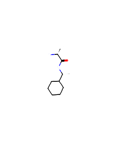 CC(C)[C@H](N)C(=O)N[C@H](C(=O)O)C1CCCCC1